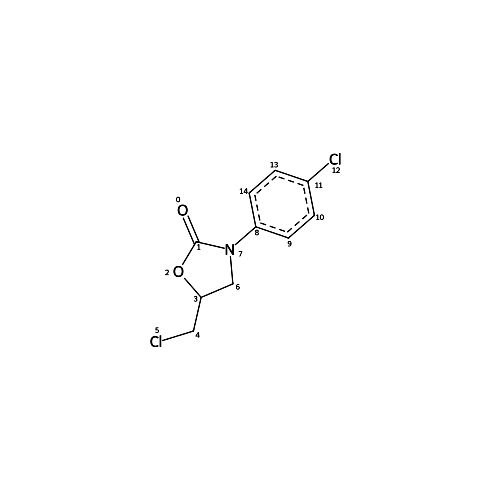 O=C1OC(CCl)CN1c1ccc(Cl)cc1